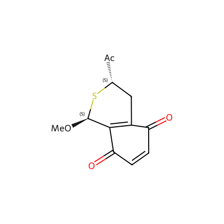 CO[C@H]1S[C@H](C(C)=O)CC2=C1C(=O)C=CC2=O